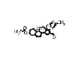 CC(=O)O[C@H]1CC[C@@]2(C)C(=CCC3C2CC[C@]2(C)C(n4cnc(C)c4)=C(C=O)CC32)C1